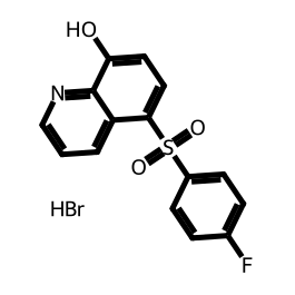 Br.O=S(=O)(c1ccc(F)cc1)c1ccc(O)c2ncccc12